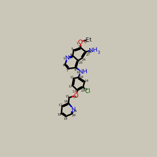 CCOc1cc2nccc(Nc3ccc(OCc4ccccn4)c(Cl)c3)c2cc1N